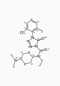 CCN(C(=O)n1nnn(-c2c(C)cccc2Cl)c1=O)C1CCC(N(C)C)CC1